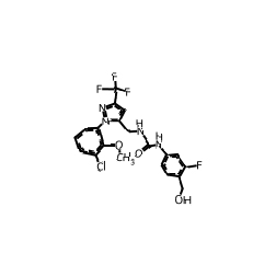 COc1c(Cl)cccc1-n1nc(C(F)(F)F)cc1CNC(=O)Nc1ccc(CO)c(F)c1